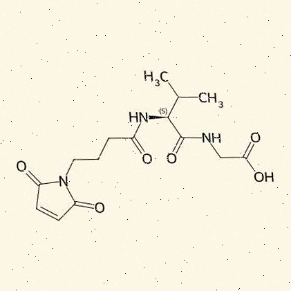 CC(C)[C@H](NC(=O)CCCN1C(=O)C=CC1=O)C(=O)NCC(=O)O